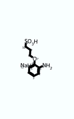 Nc1ccccc1OCCCS(=O)(=O)O.[NaH]